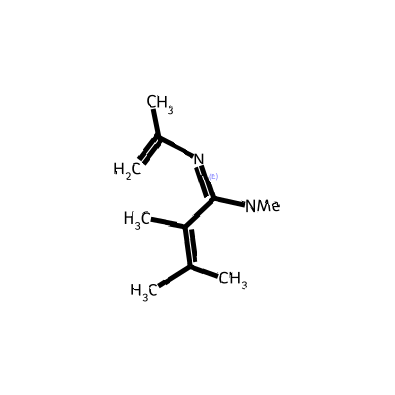 C=C(C)/N=C(/NC)C(C)=C(C)C